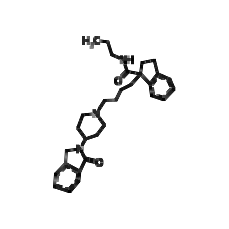 CCCNC(=O)C1(CCCCN2CCC(N3Cc4ccccc4C3=O)CC2)CCc2ccccc21